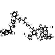 Cc1ncsc1-c1ccc(CNC(=O)[C@@H]2C[C@@H](O)CN2C(=O)C(NC(=O)C2(F)CC2)C(C)(C)C)c(OCCOCCC(=O)N2CC(C(c3ccccc3)n3cc(NC(=O)c4n[nH]c5c4C[C@@H]4C(F)(F)[C@]4(C)C5)cn3)C2)c1